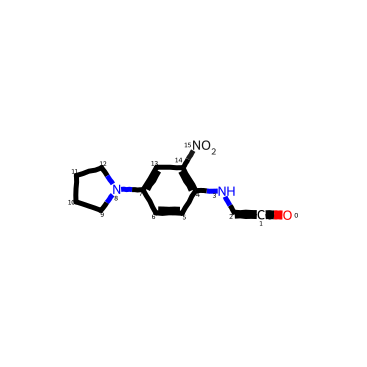 O=C=CNc1ccc(N2CCCC2)cc1[N+](=O)[O-]